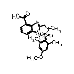 COc1cc(C)c(S(=O)(=O)N(C)Cc2nc3c(C(=O)O)cccc3n2C)c(C)c1